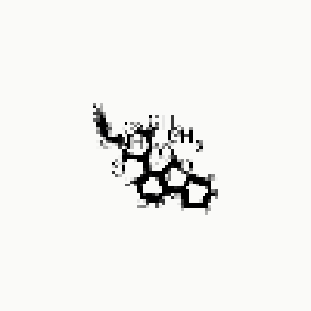 COC(=O)c1c(-c2ccccc2)cccc1C(CC(C)C)C(=O)NCC#N